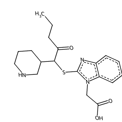 CCCC(=O)C(Sc1nc2ccccc2n1CC(=O)O)C1CCCNC1